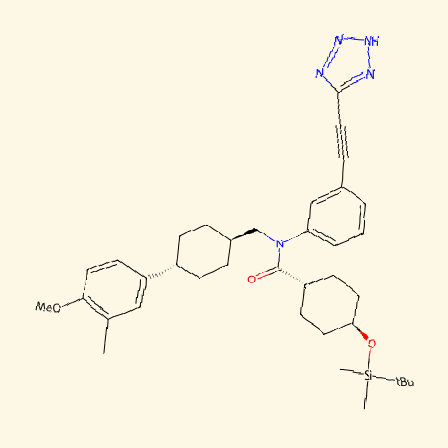 COc1ccc([C@H]2CC[C@H](CN(c3cccc(C#Cc4nn[nH]n4)c3)C(=O)[C@H]3CC[C@H](O[Si](C)(C)C(C)(C)C)CC3)CC2)cc1C